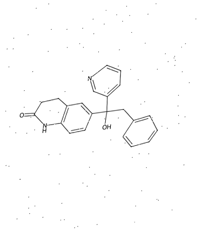 O=C1CCc2cc(C(O)(Cc3ccccc3)c3cccnc3)ccc2N1